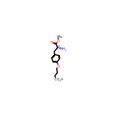 CC(C)(C)OC(=O)[C@@H](N)Cc1ccc(OCCCC(=O)O)cc1